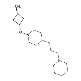 C[C@H]1C[C@H](ON2CCC(CCCN3CCCCC3)CC2)C1